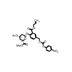 C=CCOC(=O)c1cc(COC(=O)Oc2ccc([N+](=O)[O-])cc2)ccc1O[C@H]1C[C@@H](OC(C)=O)C[C@@H](C(=O)OC)O1